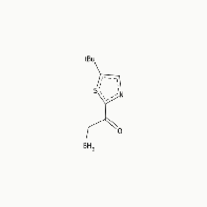 BCC(=O)c1ncc(C(C)(C)C)s1